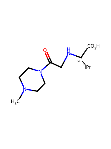 CC(C)[C@H](NCC(=O)N1CCN(C)CC1)C(=O)O